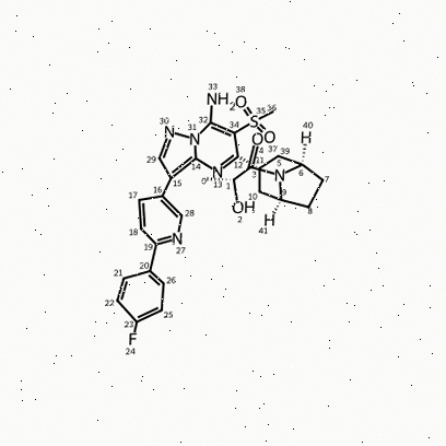 C[C@@H](O)C(=O)N1[C@@H]2CC[C@H]1C[C@H](c1nc3c(-c4ccc(-c5ccc(F)cc5)nc4)cnn3c(N)c1S(C)(=O)=O)C2